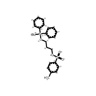 Cc1ccc(S(=O)(=O)OCCCO[Si](c2ccccc2)(c2ccccc2)C(C)(C)C)cc1